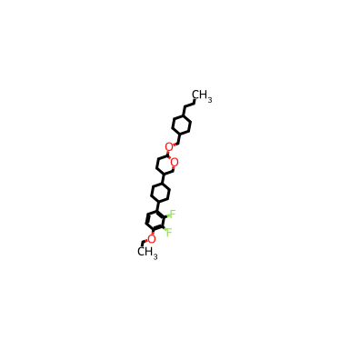 CCCC1CCC(COC2CCC(C3CCC(c4ccc(OCC)c(F)c4F)CC3)CO2)CC1